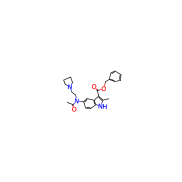 CC(=O)N(CCN1CCCC1)c1ccc2[nH]c(C)c(C(=O)OCc3ccccc3)c2c1